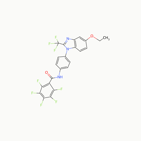 CCOc1ccc2c(c1)nc(C(F)(F)F)n2-c1ccc(NC(=O)c2c(F)c(F)c(F)c(F)c2F)cc1